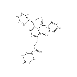 O=C(C1=CC=C(CCC(=O)N2CCOCC2)C(=O)C1C(=O)c1ccccc1)c1ccccc1